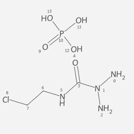 NN(N)C(=O)NCCCl.O=P(O)(O)O